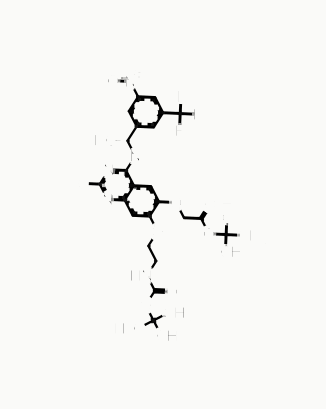 Cc1nc(N[C@H](C)c2cc([N+](=O)[O-])cc(C(F)(F)F)c2)c2cc(OCC(=O)OC(C)(C)C)c(OCCNC(=O)OC(C)(C)C)cc2n1